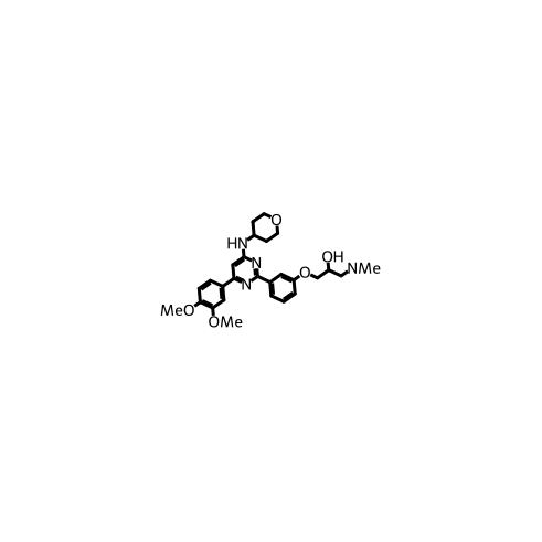 CNCC(O)COc1cccc(-c2nc(NC3CCOCC3)cc(-c3ccc(OC)c(OC)c3)n2)c1